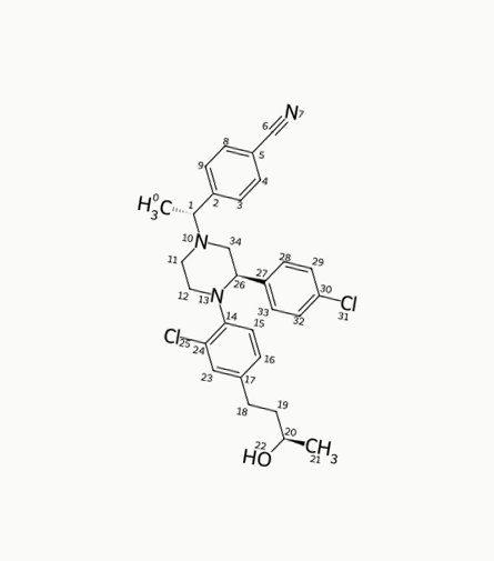 C[C@H](c1ccc(C#N)cc1)N1CCN(c2ccc(CC[C@@H](C)O)cc2Cl)[C@H](c2ccc(Cl)cc2)C1